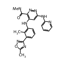 CNC(=O)c1nnc(Nc2ccccn2)cc1Nc1cccc(-c2noc(C)n2)c1C